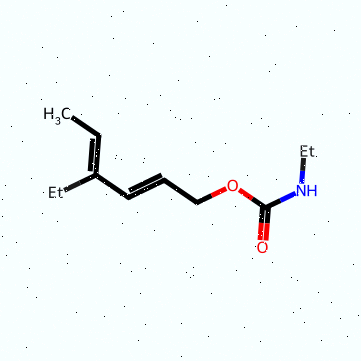 CC=C(C=CCOC(=O)NCC)CC